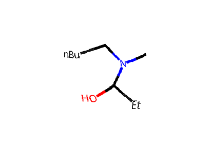 CCCCCN(C)C(O)CC